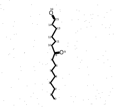 CCCCCCCCC(=O)CCCCC[C]=O